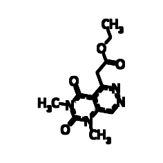 CCOC(=O)Cc1nncc2c1c(=O)n(C)c(=O)n2C